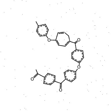 CC(=O)c1ccc(C(=O)c2ccc(Oc3ccc(C(=O)C4=CC=C(Oc5ccc(C)cc5)C=CC4)cc3)cc2)cc1